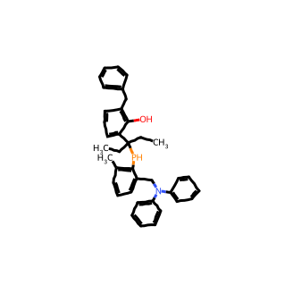 CCC(CC)(Pc1c(C)cccc1CN(c1ccccc1)c1ccccc1)c1cccc(Cc2ccccc2)c1O